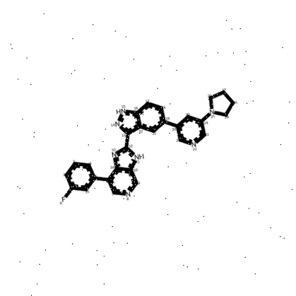 Fc1cccc(-c2cncc3[nH]c(-c4n[nH]c5ccc(-c6cncc(N7CCCC7)c6)cc45)nc23)c1